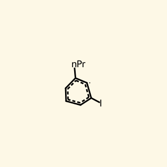 CCCc1[c]c(I)ccc1